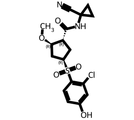 CO[C@@H]1C[C@H](S(=O)(=O)c2ccc(O)cc2Cl)C[C@H]1C(=O)NC1(C#N)CC1